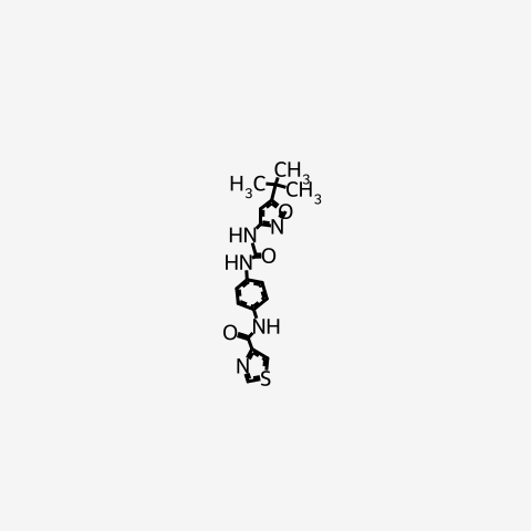 CC(C)(C)c1cc(NC(=O)Nc2ccc(NC(=O)c3cscn3)cc2)no1